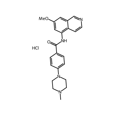 COc1cc(NC(=O)c2ccc(N3CCN(C)CC3)cc2)c2ccncc2c1.Cl